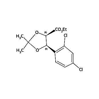 CCOC(=O)[C@@H]1OC(C)(C)O[C@@H]1c1ccc(Cl)cc1Cl